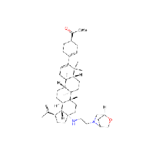 C=C(C)[C@@H]1CC[C@]2(NCCN3C[C@@H]4CC3CO4)CC[C@]3(C)[C@H](CC[C@@H]4[C@@]5(C)CC=C(C6=CC[C@H](C(=O)OC)CC6)C(C)(C)[C@@H]5CC[C@]43C)[C@@H]12